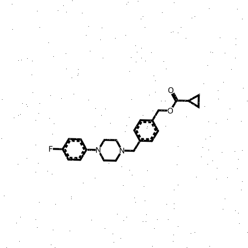 O=C(OCc1ccc(CN2CCN(c3ccc(F)cc3)CC2)cc1)C1CC1